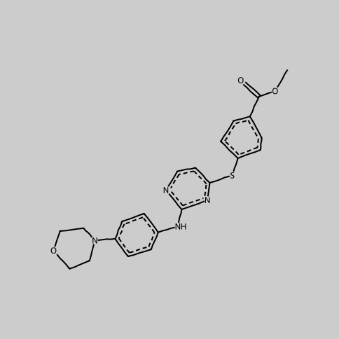 COC(=O)c1ccc(Sc2ccnc(Nc3ccc(N4CCOCC4)cc3)n2)cc1